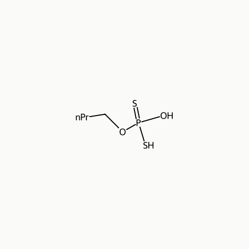 CCCCOP(O)(=S)S